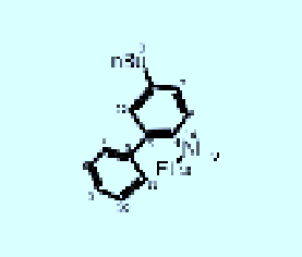 CCCCc1cccc(-c2ccccc2)c1.CCN